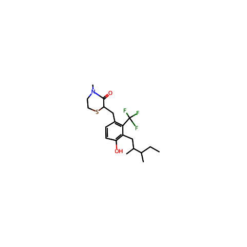 CCC(C)C(C)Cc1c(O)ccc(CC2SCCN(C)C2=O)c1C(F)(F)F